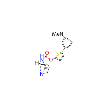 CNc1cccc(-c2ccc(OC(=O)N[C@H]3CN4CCC3CC4)s2)c1